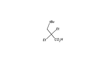 CCC(CC)(CC(C)(C)C)C(=O)O